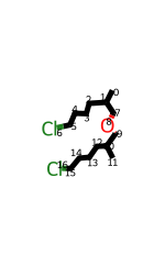 CC(CCCCCl)COCC(C)CCCCCl